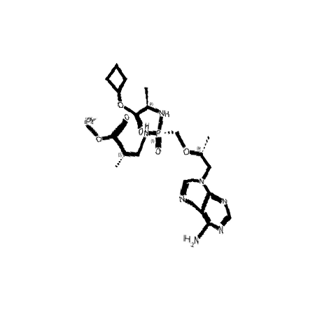 CC(C)OC(=O)[C@@H](C)CN[P@@](=O)(CO[C@H](C)Cn1cnc2c(N)ncnc21)N[C@H](C)C(=O)OC1CCC1